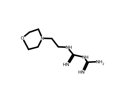 N=C(N)NC(=N)NCCN1CCOCC1